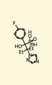 CCC(CC)(n1cncn1)C(O)(c1ccc(F)cc1)P(=O)(O)O